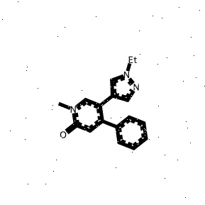 CCn1cc(-c2cn(C)c(=O)cc2-c2ccccc2)cn1